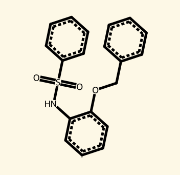 O=S(=O)(Nc1c[c]ccc1OCc1ccccc1)c1ccccc1